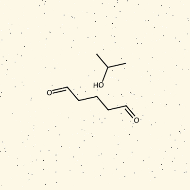 CC(C)O.O=CCCCC=O